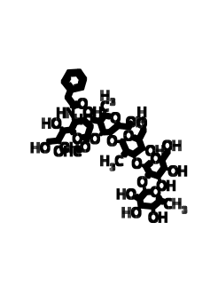 CC1O[C@@H](OC2[C@H](O[C@@H]3C(C)[C@H](O[C@H]4C(CO)O[C@@H](C)C(O)[C@H]4O[C@]4(OC=O)C[C@@H](O)[C@@H](NC(=O)Cc5ccccc5)C([C@H](O)[C@H](O)CO)O4)OC(CO)[C@@H]3O)OC(CO)[C@H](O)[C@@H]2O)C(O)[C@@H](O)[C@@H]1O